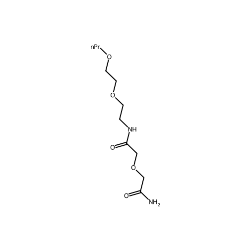 CCCOCCOCCNC(=O)COCC(N)=O